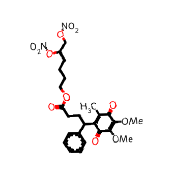 COC1=C(OC)C(=O)C(C(CCC(=O)OCCCCC(CO[N+](=O)[O-])O[N+](=O)[O-])c2ccccc2)=C(C)C1=O